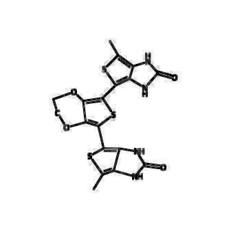 Cc1sc(-c2sc(-c3sc(C)c4[nH]c(=O)[nH]c34)c3c2OCCO3)c2[nH]c(=O)[nH]c12